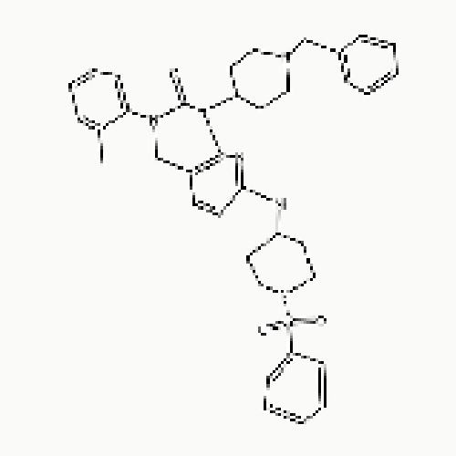 Cc1ccccc1N1Cc2ccc(NC3CCN(S(=O)(=O)c4ccccc4)CC3)nc2C(C2CCN(Cc3ccccc3)CC2)C1=O